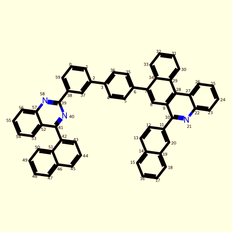 c1cc(-c2ccc(-c3cc4c(-c5ccc6ccccc6c5)nc5ccccc5c4c4ccccc34)cc2)cc(-c2nc(-c3cccc4ccccc34)c3ccccc3n2)c1